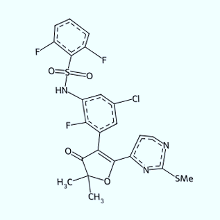 CSc1nccc(C2=C(c3cc(Cl)cc(NS(=O)(=O)c4c(F)cccc4F)c3F)C(=O)C(C)(C)O2)n1